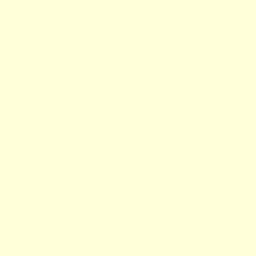 O=C(O)c1ccc(-c2cccc(OC(F)(F)F)c2)c2ccccc12